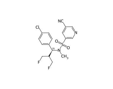 CN([C@H](c1ccc(Cl)cc1)C(CF)CF)S(=O)(=O)c1cncc(C#N)c1